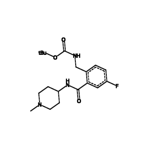 CN1CCC(NC(=O)c2cc(F)ccc2CNC(=O)OC(C)(C)C)CC1